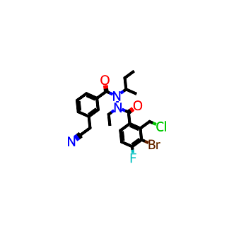 CCC(C)N(C(=O)c1cccc(CC#N)c1)N(CC)C(=O)c1ccc(F)c(Br)c1CCl